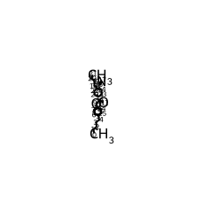 CCCCCc1ccc(OC(=O)[C@H]2CC[C@](C#N)(CCCC)CC2)cc1